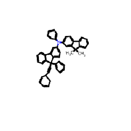 CC1(C)c2ccccc2-c2ccc(N(c3ccccc3)c3ccc4c(c3)-c3ccccc3C4(C#CC3C=CC=CC3)c3ccccc3)cc21